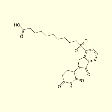 O=C(O)CCCCCCCCCS(=O)(=O)c1cccc2c1CN(C1CCC(=O)NC1=O)C2=O